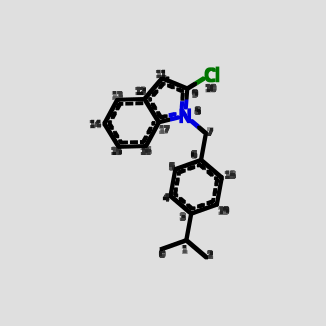 CC(C)c1ccc(Cn2c(Cl)[c]c3ccccc32)cc1